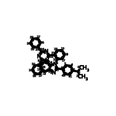 CC(C)c1ccc(-c2nc3ccccc3n2-c2ccccc2-c2nc(-c3ccccc3)nc(-c3ccccc3)n2)cc1